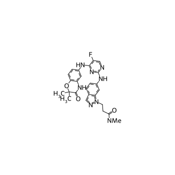 CNC(=O)CCn1ncc2ccc(Nc3ncc(F)c(Nc4ccc5c(c4)NC(=O)C(C)(C)O5)n3)cc21